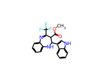 COC(=O)C1C(C(F)(F)F)=Nc2ccccc2NC1c1c[nH]c2ccccc12